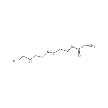 CCNCCSSCCOC(=O)CC